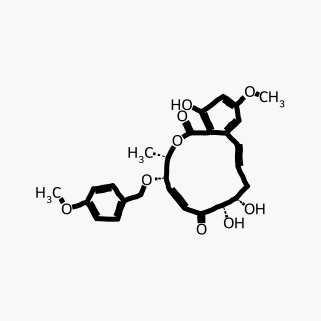 COc1ccc(CO[C@H]2/C=C\C(=O)[C@@H](O)[C@@H](O)C/C=C/c3cc(OC)cc(O)c3C(=O)O[C@H]2C)cc1